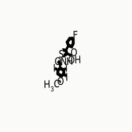 COc1cc(I)c(C(=O)Nc2scc(-c3ccc(F)cc3)c2C(=O)O)c(I)c1I